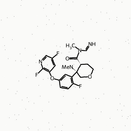 CN[C@@]1(c2cc(Oc3cc(F)cnc3F)ccc2F)COCC[C@H]1C(=O)N(C)C=N